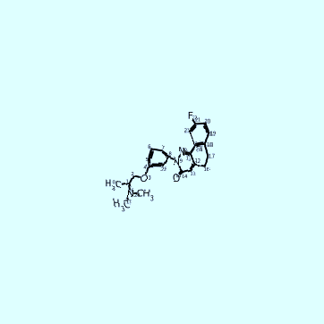 CC(COc1cccc(-n2nc3c(cc2=O)CCc2ccc(F)cc2-3)c1)N(C)C